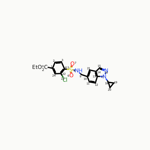 CCOC(=O)c1ccc(S(=O)(=O)NCc2ccc3c(cnn3C3CC3)c2)c(Cl)c1